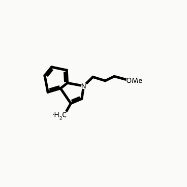 [CH2]c1cn(CCCOC)c2ccccc12